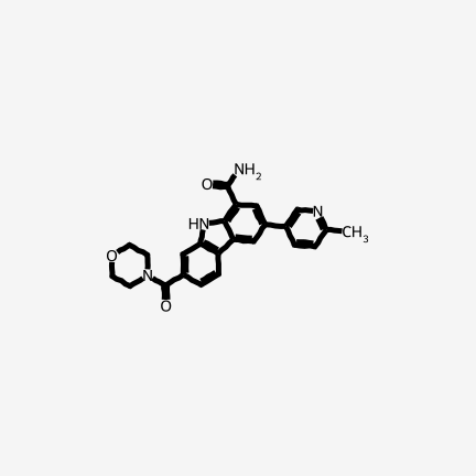 Cc1ccc(-c2cc(C(N)=O)c3[nH]c4cc(C(=O)N5CCOCC5)ccc4c3c2)cn1